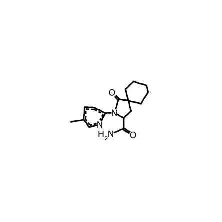 Cc1ccc(N2C(=O)C3(C[CH]CCC3)CC2C(N)=O)nc1